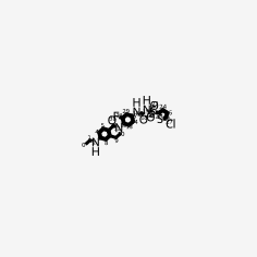 CCNc1ccc2c(c1)CCN(c1ccc(NC(=O)NS(=O)(=O)c3ccc(Cl)s3)cc1F)C2=O